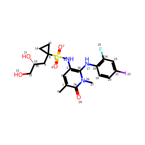 Cc1cc(NS(=O)(=O)C2(C[C@@H](O)CO)CC2)c(Nc2ccc(I)cc2F)n(C)c1=O